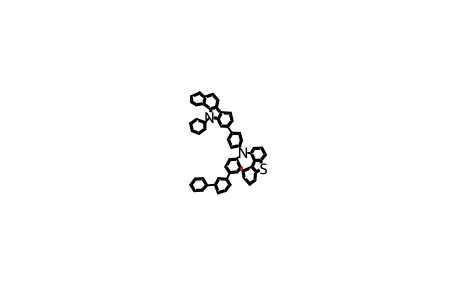 c1ccc(-c2cccc(-c3ccc(N(c4ccc(-c5ccc6c7ccc8ccccc8c7n(-c7ccccc7)c6c5)cc4)c4cccc5sc6ccccc6c45)cc3)c2)cc1